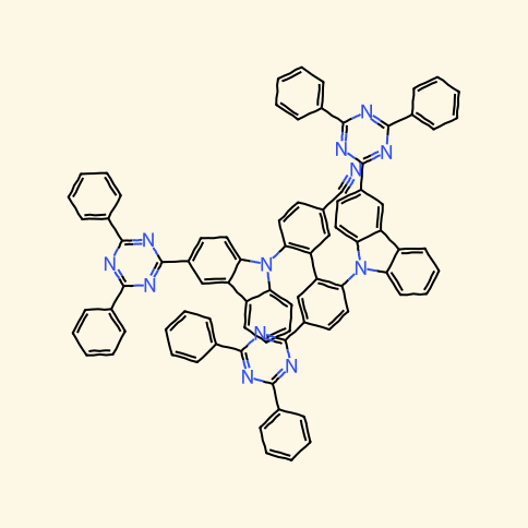 N#Cc1ccc(-n2c3ccccc3c3cc(-c4nc(-c5ccccc5)nc(-c5ccccc5)n4)ccc32)c(-c2cc(-c3nc(-c4ccccc4)nc(-c4ccccc4)n3)ccc2-n2c3ccccc3c3cc(-c4nc(-c5ccccc5)nc(-c5ccccc5)n4)ccc32)c1